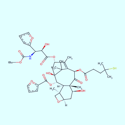 CC1=C2[C@@H](OC(=O)CCC(C)(C)S)C(=O)[C@@]3(C)[C@H]([C@H](OC(=O)c4ccco4)[C@](O)(C[C@@H]1OC(=O)[C@H](O)[C@@H](NC(=O)OC(C)(C)C)c1ccco1)C2(C)C)[C@]1(C)CO[C@@H]1C[C@@H]3O